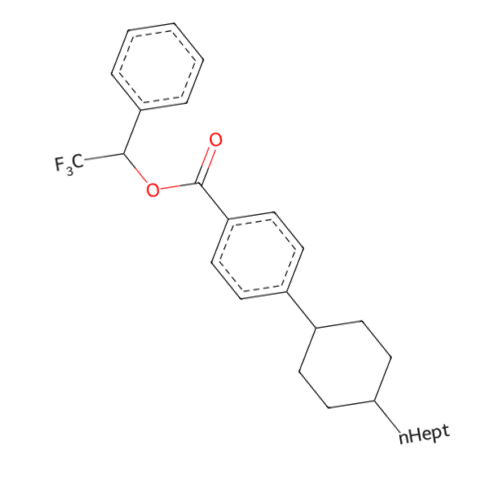 CCCCCCCC1CCC(c2ccc(C(=O)OC(c3ccccc3)C(F)(F)F)cc2)CC1